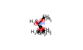 COC(=O)[C@H](Cc1ccc(OC(=O)C(C)(C)C)c(OC(=O)C(C)(C)C)c1)NCCOC(=O)CC(C)C